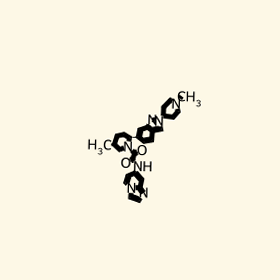 C[C@H]1CC[C@H](c2ccc3cn(C4CCN(C)CC4)nc3c2)N(C(=O)C(=O)Nc2ccn3ccnc3c2)C1